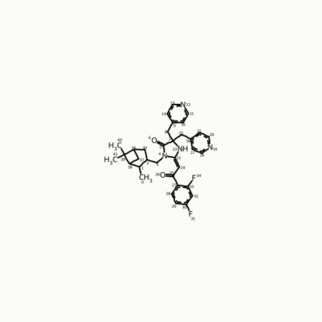 CC1C(CN2C(=O)C(Cc3ccncc3)(Cc3ccncc3)N/C2=C/C(=O)c2ccc(F)cc2F)CC2CC1C2(C)C